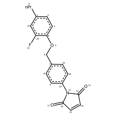 CCCc1ccc(OCc2ccc(N3C(=O)C=CC3=O)cc2)c(F)c1